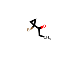 CCC(=O)C1(Br)CC1